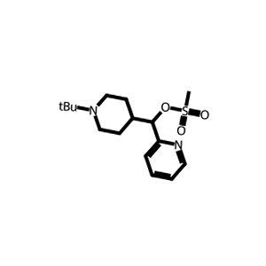 CC(C)(C)N1CCC(C(OS(C)(=O)=O)c2ccccn2)CC1